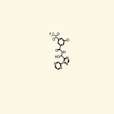 O=C(NC(O)c1ncnn1-c1cnccn1)c1cc(Cl)cc(S(=O)(=O)C(F)(F)F)c1